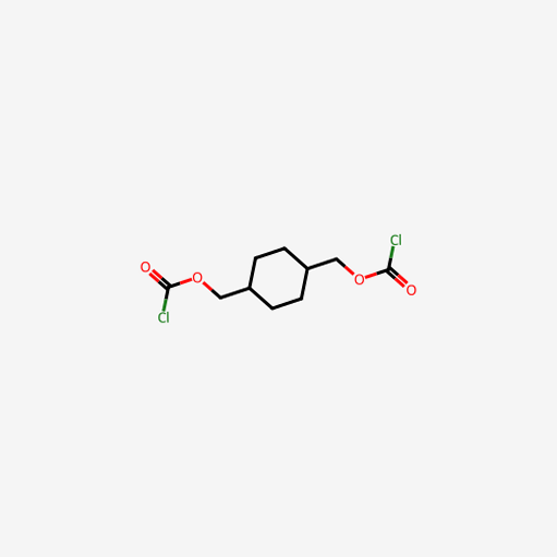 O=C(Cl)OCC1CCC(COC(=O)Cl)CC1